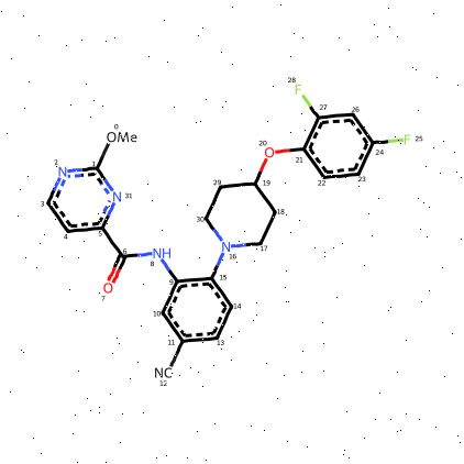 COc1nccc(C(=O)Nc2cc(C#N)ccc2N2CCC(Oc3ccc(F)cc3F)CC2)n1